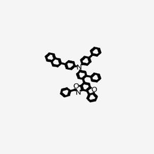 c1ccc(-c2ccc(N(c3ccc(-c4ccc5ccccc5c4)cc3)c3ccc(-c4cc5oc6ccccc6c5c5nc(-c6ccccc6)oc45)c(-c4ccccc4)c3)cc2)cc1